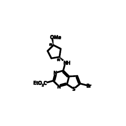 CCOC(=O)c1nc(N[C@@H]2CC[C@H](OC)C2)c2cc(Br)sc2n1